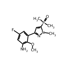 COc1c(N)cc(F)cc1-c1cc(P(C)(C)=O)n(C)n1